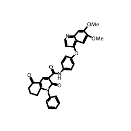 COc1cc2nccc(Oc3ccc(NC(=O)c4cc5c(n(-c6ccccc6)c4=O)CCCC5=O)cc3)c2cc1OC